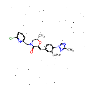 COc1cc(/C=C2\O[C@@H](C)CN(Cc3cccc(Cl)n3)C2=O)ccc1-n1cnc(C)n1